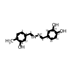 Cc1ccc(/C=N/N=C/c2ccc(O)c(O)c2)cc1O